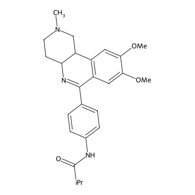 COc1cc2c(cc1OC)C1CN(C)CCC1N=C2c1ccc(NC(=O)C(C)C)cc1